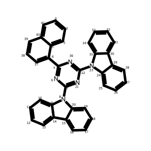 c1ccc2c(-c3nc(-n4c5ccccc5c5ccccc54)nc(-n4c5ccccc5c5ccccc54)n3)cccc2c1